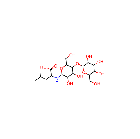 CC(C)CC(NC1OC(CO)C(OC2OC(CO)C(O)C(O)C2O)C(O)C1O)C(=O)O